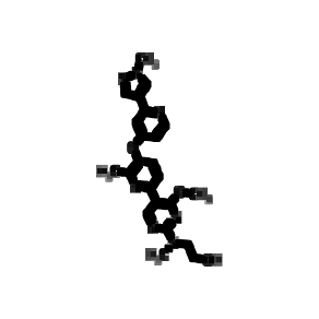 COc1nc(N(C)CCO)ncc1-c1ccc(Oc2ccnc(-c3cnn(C)c3)c2)c(C)n1